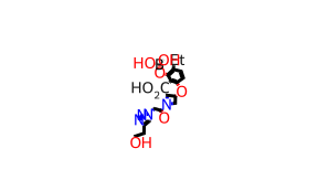 CCc1ccc(OC2CN(C(=O)Cn3cc(CCO)nn3)C2)c(C(=O)O)c1OB(O)O